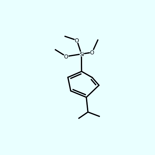 CO[Si](OC)(OC)c1ccc(C(C)C)cc1